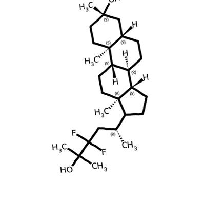 C[C@H](CC(F)(F)C(C)(C)O)C1CC[C@H]2[C@@H]3CC[C@H]4C[C@@](C)(O)CC[C@]4(C)[C@H]3CC[C@]12C